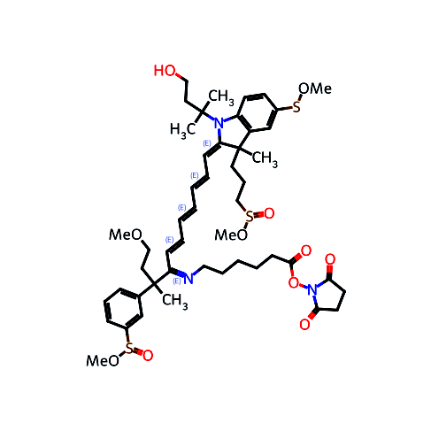 COCCC(C)(C(/C=C/C=C/C=C/C=C1/N(C(C)(C)CCO)c2ccc(SOC)cc2C1(C)CCCS(=O)OC)=N/CCCCCC(=O)ON1C(=O)CCC1=O)c1cccc(S(=O)OC)c1